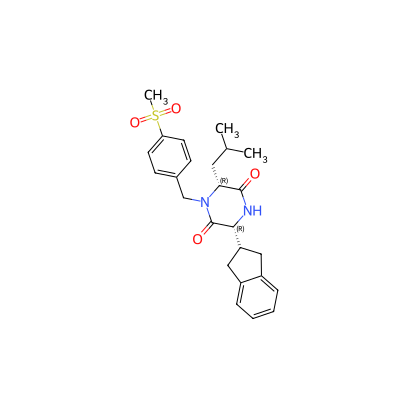 CC(C)C[C@@H]1C(=O)N[C@H](C2Cc3ccccc3C2)C(=O)N1Cc1ccc(S(C)(=O)=O)cc1